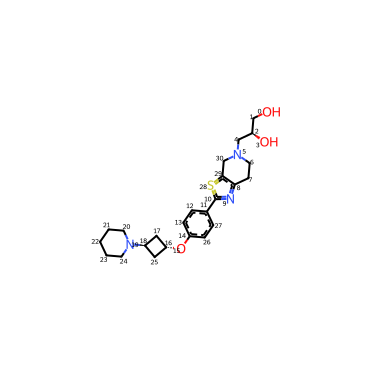 OC[C@@H](O)CN1CCc2nc(-c3ccc(O[C@H]4C[C@H](N5CCCCC5)C4)cc3)sc2C1